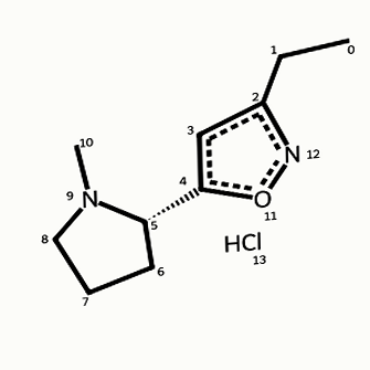 CCc1cc([C@@H]2CCCN2C)on1.Cl